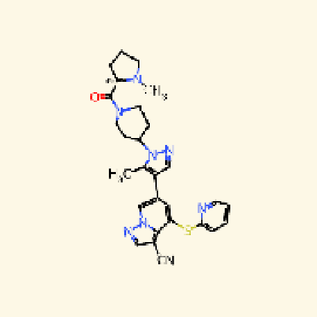 Cc1c(-c2cc(Sc3ccccn3)c3c(C#N)cnn3c2)cnn1C1CCN(C(=O)[C@H]2CCCN2C)CC1